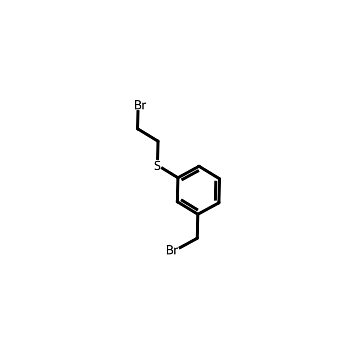 BrCCSc1cccc(CBr)c1